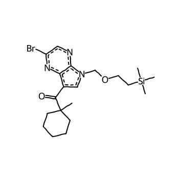 CC1(C(=O)c2cn(COCC[Si](C)(C)C)c3ncc(Br)nc23)CCCCC1